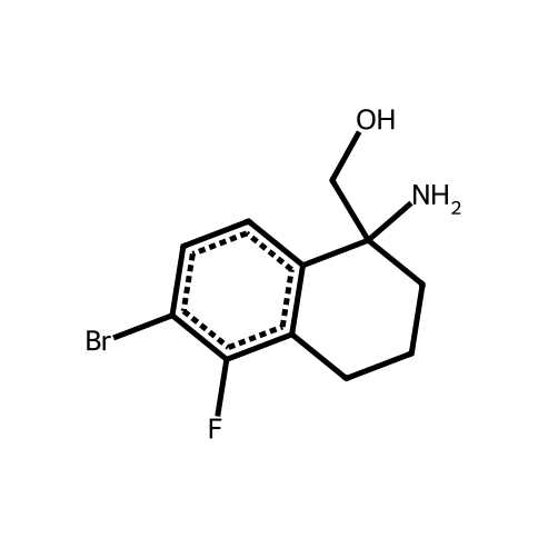 NC1(CO)CCCc2c1ccc(Br)c2F